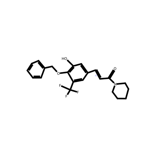 O=C(/C=C/c1cc(O)c(OCc2ccccc2)c(C(F)(F)F)c1)N1CCCCC1